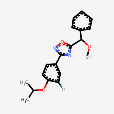 COC(c1ccccc1)c1nc(-c2ccc(OC(C)C)c(Cl)c2)no1